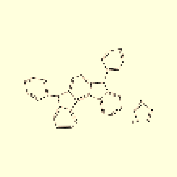 c1ccc(-n2c3ccccc3c3c4c5ccc(-c6ncc[nH]6)cc5n(-c5ccccc5)c4ccc32)cc1